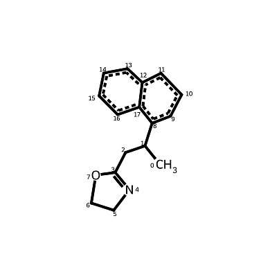 CC(CC1=NCCO1)c1cccc2ccccc12